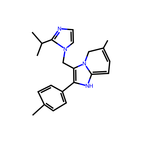 CC1=CC=C2NC(c3ccc(C)cc3)=C(Cn3ccnc3C(C)C)N2C1